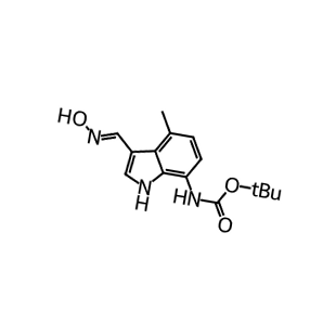 Cc1ccc(NC(=O)OC(C)(C)C)c2[nH]cc(C=NO)c12